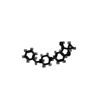 O=C1c2cc(N3CCN(Cc4ccccc4)CC3)ccc2OC12CC2